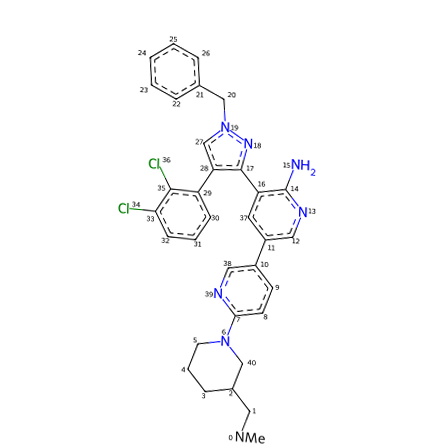 CNCC1CCCN(c2ccc(-c3cnc(N)c(-c4nn(Cc5ccccc5)cc4-c4cccc(Cl)c4Cl)c3)cn2)C1